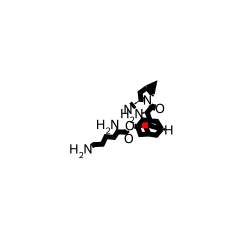 N#C[C@@H]1CC2CC2N1C(=O)[C@@H](N)C12CC3C[C@H](CC(OC(=O)[C@@H](N)CCCCN)(C3)C1)C2